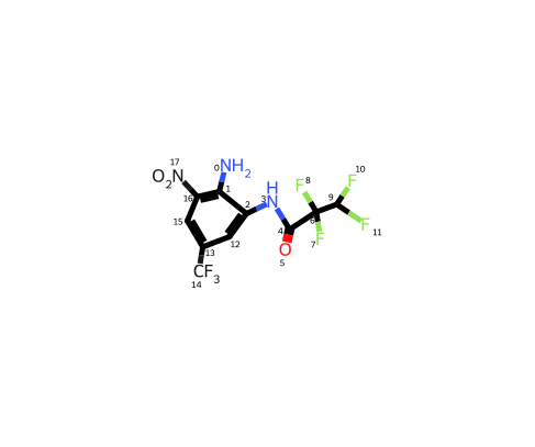 Nc1c(NC(=O)C(F)(F)C(F)F)cc(C(F)(F)F)cc1[N+](=O)[O-]